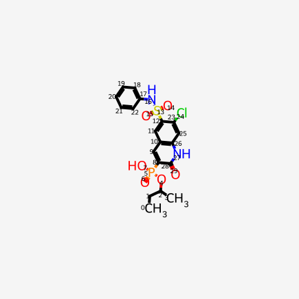 CCC(C)OP(=O)(O)c1cc2cc(S(=O)(=O)Nc3ccccc3)c(Cl)cc2[nH]c1=O